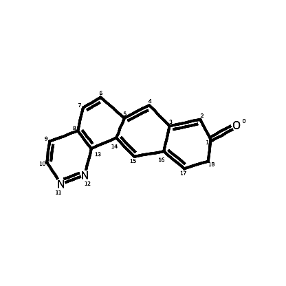 O=C1C=c2cc3ccc4ccnnc4c3cc2=CC1